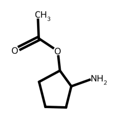 CC(=O)OC1CCCC1N